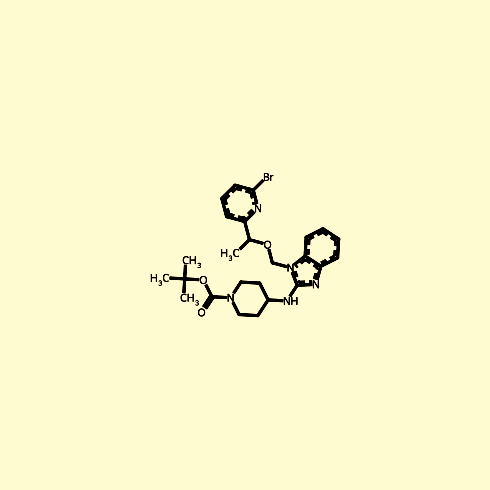 CC(OCn1c(NC2CCN(C(=O)OC(C)(C)C)CC2)nc2ccccc21)c1cccc(Br)n1